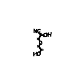 N#CC(O)COCCO